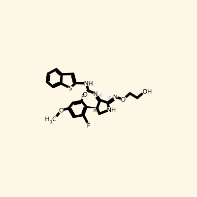 COc1cc(F)c([C@@H]2CNC(=N\OCCO)/C2=N/C(=O)Nc2cc3ccccc3s2)c(F)c1